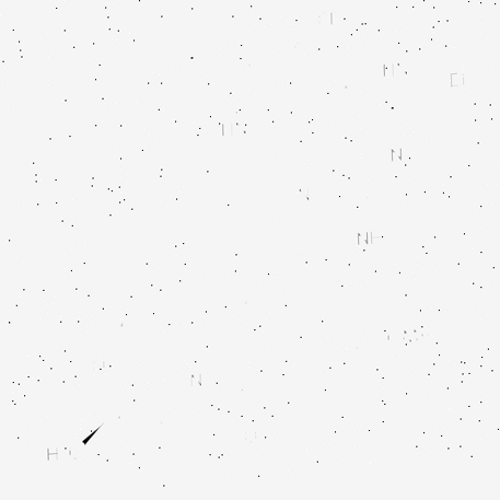 CCNc1nc(Nc2ccc(C(=O)N3CCO[C@H](C)C3)cc2OC)nc2[nH]cc(C(F)(F)F)c12